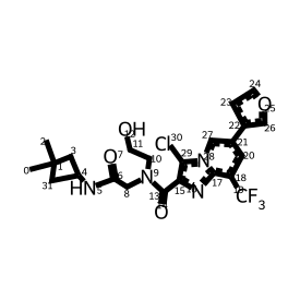 CC1(C)CC(NC(=O)CN(CCO)C(=O)c2nc3c(C(F)(F)F)cc(-c4ccoc4)cn3c2Cl)C1